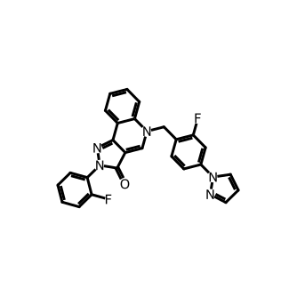 O=c1c2cn(Cc3ccc(-n4cccn4)cc3F)c3ccccc3c-2nn1-c1ccccc1F